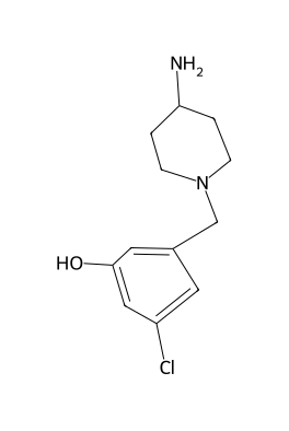 NC1CCN(Cc2cc(O)cc(Cl)c2)CC1